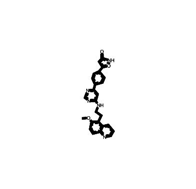 COc1ccc2ncccc2c1CCNc1cc(-c2ccc(-c3cc(=O)[nH]o3)cc2)ncn1